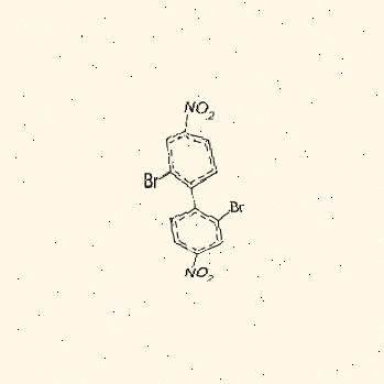 O=[N+]([O-])c1ccc(-c2ccc([N+](=O)[O-])cc2Br)c(Br)c1